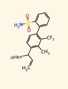 C=CC(CCCCCC)c1ccc(-c2ccccc2S(N)(=O)=O)c(C(F)(F)F)c1C